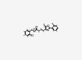 Cc1ccccc1-c1nc(CSCC(=O)NCc2ccccc2Cl)c(C)o1